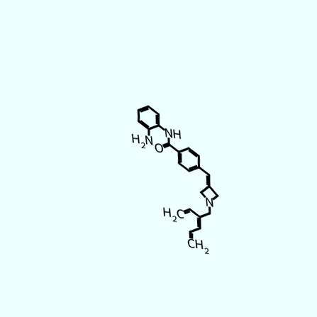 C=C/C=C(\C=C)CN1CC(=Cc2ccc(C(=O)Nc3ccccc3N)cc2)C1